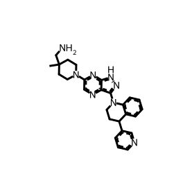 CC1(CN)CCN(c2cnc3c(N4CCC(c5cccnc5)c5ccccc54)n[nH]c3n2)CC1